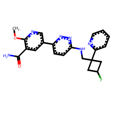 COc1ncc(-c2ccc(NCC3(c4ccccn4)CC(F)C3)nn2)cc1C(N)=O